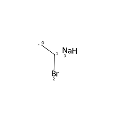 [CH2]CBr.[NaH]